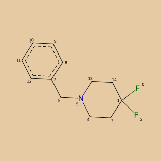 FC1(F)CCN(Cc2cc[c]cc2)CC1